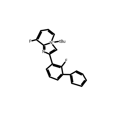 CC(C)(C)[N+]12C=CC=C(F)C1=NC(c1cccc(-c3ccccc3)c1F)=C2